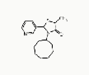 CC1SC(c2cccnc2)N(C2CCCCCCC2)C1=O